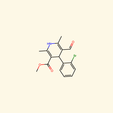 COC(=O)C1=C(C)NC(C)=C(C=O)C1c1ccccc1Br